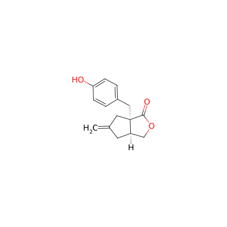 C=C1C[C@@H]2COC(=O)[C@]2(Cc2ccc(O)cc2)C1